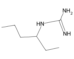 CCCC(CC)NC(=N)N